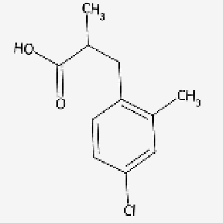 Cc1cc(Cl)ccc1CC(C)C(=O)O